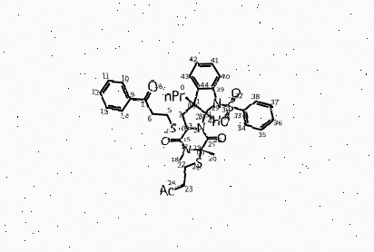 CCC[C@]12C[C@]3(SCCC(=O)c4ccccc4)C(=O)N(C)[C@@](C)(SCCC(C)=O)C(=O)N3[C@H]1N(S(=O)(=O)c1ccccc1)c1ccccc12